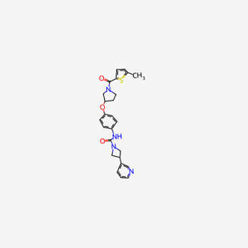 Cc1ccc(C(=O)N2CCC(Oc3ccc(NC(=O)N4CC(c5cccnc5)C4)cc3)C2)s1